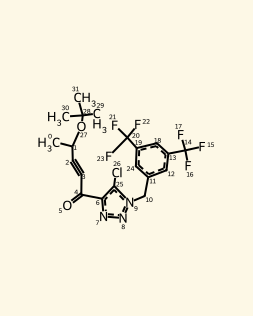 CC(C#CC(=O)c1nnn(Cc2cc(C(F)(F)F)cc(C(F)(F)F)c2)c1Cl)OC(C)(C)C